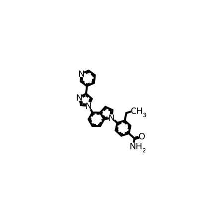 CCc1cc(C(N)=O)ccc1-n1ccc2c(-n3cnc(-c4cccnc4)c3)cccc21